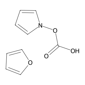 O=C(O)On1cccc1.c1ccoc1